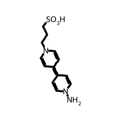 NN1C=CC(=C2C=CN(CCCS(=O)(=O)O)C=C2)C=C1